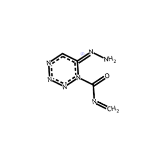 C=NC(=O)n1nnnc/c1=N/N